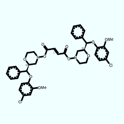 COc1cc(Cl)ccc1OC(c1ccccc1)[C@@H]1CN(OC(=O)/C=C/C(=O)ON2CCO[C@H](C(Oc3ccc(Cl)cc3OC)c3ccccc3)C2)CCO1